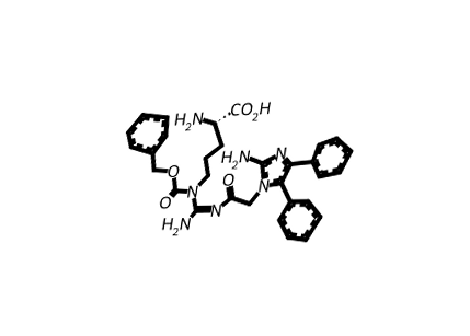 NC(=NC(=O)Cn1c(N)nc(-c2ccccc2)c1-c1ccccc1)N(CCC[C@H](N)C(=O)O)C(=O)OCc1ccccc1